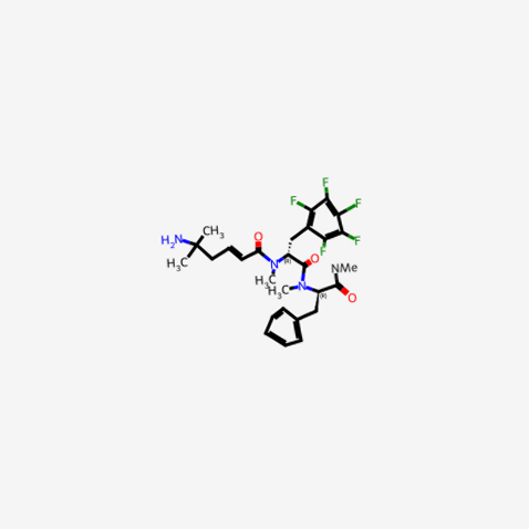 CNC(=O)[C@@H](Cc1ccccc1)N(C)C(=O)[C@@H](Cc1c(F)c(F)c(F)c(F)c1F)N(C)C(=O)C=CCC(C)(C)N